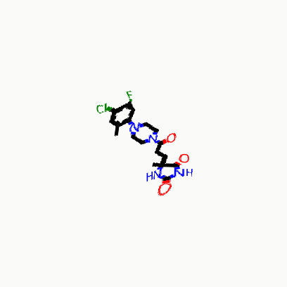 Cc1cc(Cl)c(F)cc1N1CCN(C(=O)CCC2(C)NC(=O)NC2=O)CC1